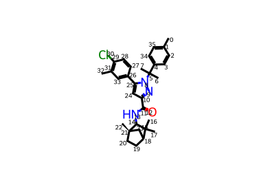 Cc1ccc(C(C)(C)n2nc(C(=O)NC3C(C)(C)C4CC[C@@]3(C)C4)cc2-c2ccc(Cl)c(C)c2)cc1